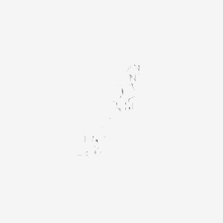 O=C(CS)NCCCCCC(=O)Nc1ccc(-n2ccnc2)cc1